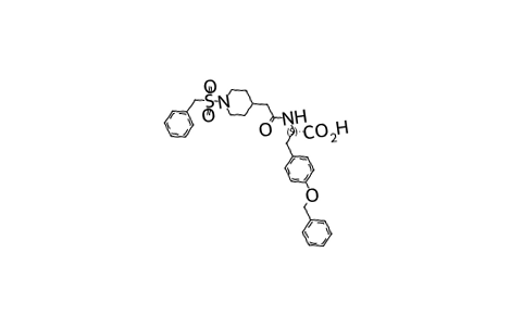 O=C(CC1CCN(S(=O)(=O)Cc2ccccc2)CC1)N[C@@H](Cc1ccc(OCc2ccccc2)cc1)C(=O)O